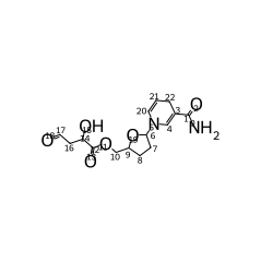 NC(=O)C1=CN(C2CCC(COC(=O)C(O)CC=O)O2)C=CC1